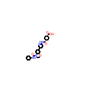 O=C(Nc1ccccc1)N1CCOc2cc(-c3ccc(NC(=O)[C@H]4CC[C@H](C(=O)O)CC4)nc3)ccc21